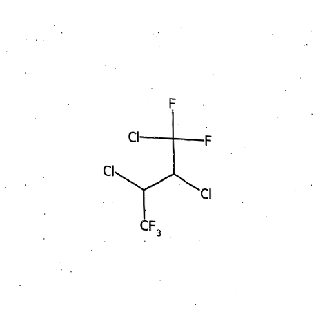 FC(F)(F)C(Cl)C(Cl)C(F)(F)Cl